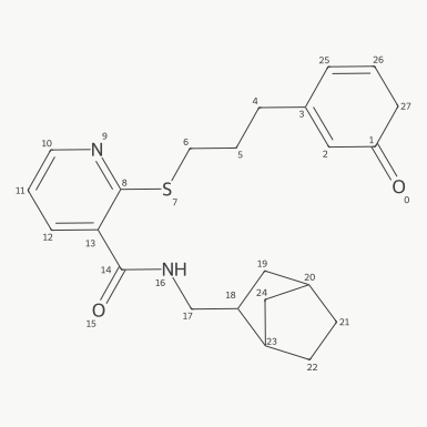 O=C1C=C(CCCSc2ncccc2C(=O)NCC2CC3CCC2C3)C=CC1